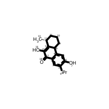 CC(C)c1cc2c(cc1O)C1CCC[C@@H](C)C1=C(O)C2=O